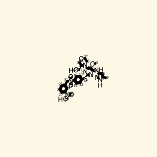 COc1c(Nc2cc(C)[nH]n2)nc(Sc2ccc(S(=O)(=O)Cc3cccc([N+](=O)O)c3)cc2)nc1N1CCOC[C@@H]1CO